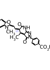 Cc1c2c([nH]c(=O)/c1=C\C=C1Oc3ccccc3N1C)=NN(c1ccc(C(=O)O)cc1)C2=O